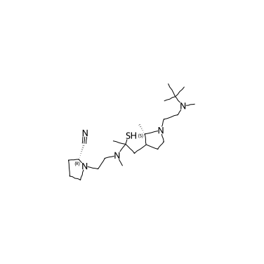 C[C@H]1C(CC(C)(S)N(C)CCN2CCC[C@@H]2C#N)CCN1CCN(C)C(C)(C)C